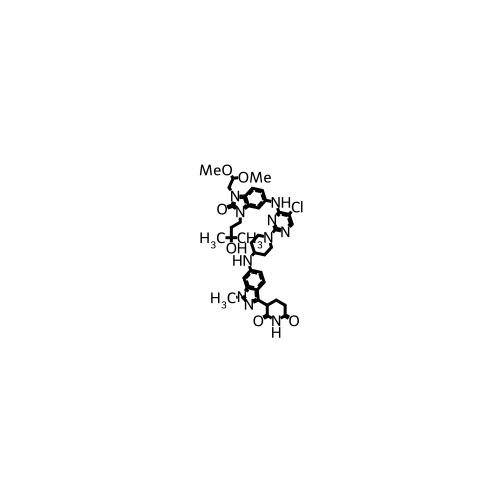 COC(Cn1c(=O)n(CCC(C)(C)O)c2cc(Nc3nc(N4CCC(Nc5ccc6c(C7CCC(=O)NC7=O)nn(C)c6c5)CC4)ncc3Cl)ccc21)OC